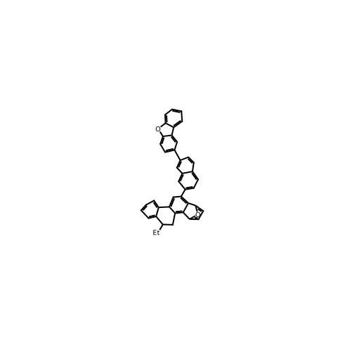 CCC1Cc2c(cc(-c3ccc4ccc(-c5ccc6oc7ccccc7c6c5)cc4c3)c3c4ccc(o4)c23)-c2ccccc21